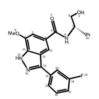 COc1cc(C(=O)N[C@H](CO)C(C)C)cc2c(-c3cccc(F)c3)n[nH]c12